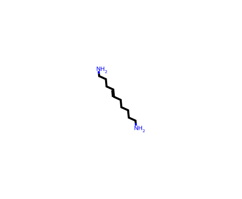 NCCC/C=C/CCCCCN